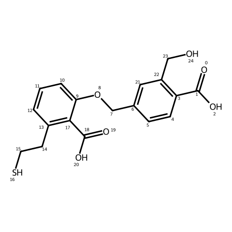 O=C(O)c1ccc(COc2cccc(CCS)c2C(=O)O)cc1CO